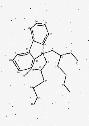 CCCCC(CC)CC1(CC(CC)CCCC)c2cc[c]cc2-c2ccccc21